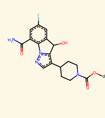 CC(C)(C)OC(=O)N1CCC(c2cnn3c2C(O)c2cc(F)cc(C(N)=O)c2-3)CC1